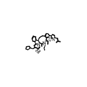 C=C/C1=[N+](\CCC)C(=C)C2C(CCc3ccc4c(oc5nc(CC(C)C)ccc54)c31)c1ccccc1-c1cc(CC3CCCC3)c([Si](C)(C)C)c[n+]12